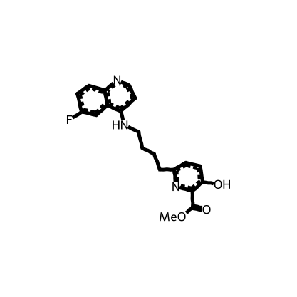 COC(=O)c1nc(CCCCNc2ccnc3ccc(F)cc23)ccc1O